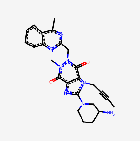 CC#CCn1c(N2CCCC(N)C2)nc2c(=O)n(C)n(Cc3nc(C)c4ccccc4n3)c(=O)c21